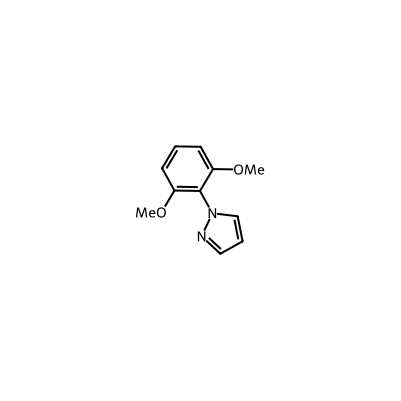 COc1cccc(OC)c1-n1cccn1